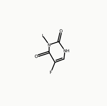 O=c1[nH]cc(F)c(=O)n1I